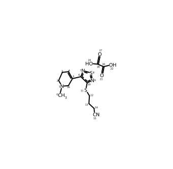 CN1CCC=C(c2nsnc2SCCCC#N)C1.O=C(O)C(=O)O